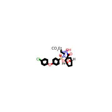 CCOC(=O)CCN([C@]1(C(=O)NO)C[C@H]2CC[C@@H](C1)O2)S(=O)(=O)c1ccc(Oc2ccc(Cl)cc2)cc1